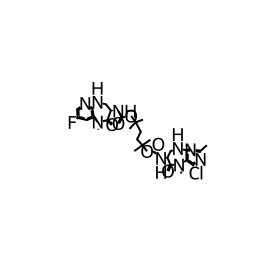 Cc1nc(Cl)c2c(n1)NC[C@H](NC(=O)OC(C)(C)CCC(C)(C)OC(=O)N[C@H]1CNc3ncc(F)cc3N(C)C1=O)C(=O)N2C